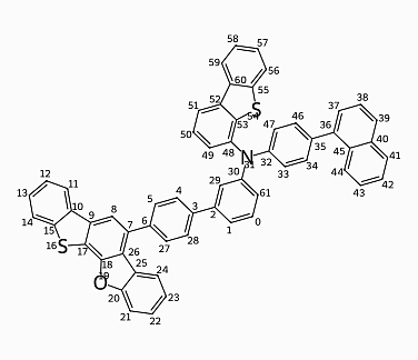 c1cc(-c2ccc(-c3cc4c5ccccc5sc4c4oc5ccccc5c34)cc2)cc(N(c2ccc(-c3cccc4ccccc34)cc2)c2cccc3c2sc2ccccc23)c1